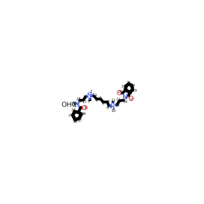 C[N+](C)(CCCCCC[N+](C)(C)CCCN1C(=O)c2ccccc2C1=O)CCCN(C=O)C(=O)c1ccccc1